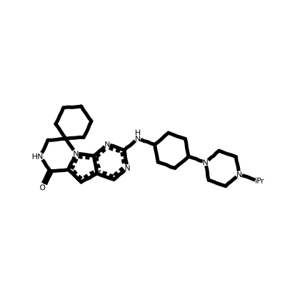 CC(C)N1CCN(C2CCC(Nc3ncc4cc5n(c4n3)C3(CCCCC3)CNC5=O)CC2)CC1